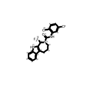 O=C(Nc1cc(Cl)ccc1Cl)N1CCCc2c([nH]c3ccccc23)C1C(F)(F)F